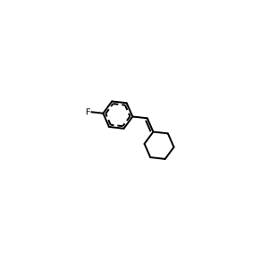 Fc1ccc(C=C2CCCCC2)cc1